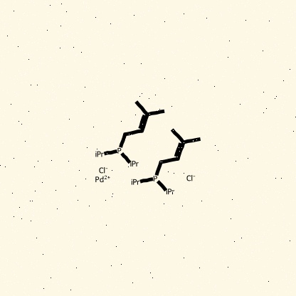 CC(C)=CCP(C(C)C)C(C)C.CC(C)=CCP(C(C)C)C(C)C.[Cl-].[Cl-].[Pd+2]